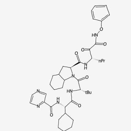 CCC[C@H](NC(=O)[C@@H]1CC2CCCCC2N1C(=O)[C@@H](NC(=O)[C@@H](NC(=O)c1cnccn1)C1CCCCC1)C(C)(C)C)C(=O)C(=O)NOc1ccccc1